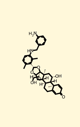 Cc1ccc(NCc2cccc(N)c2)c(C)c1[C@H]1O[C@@H]2C[C@H]3[C@@H]4CCC5=CC(=O)C=C[C@]5(C)[C@H]4[C@@H](O)C[C@]3(C)[C@]2(C(=O)CO)O1